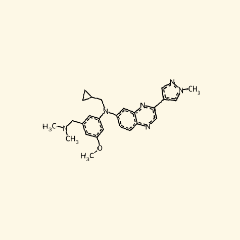 COc1cc(CN(C)C)cc(N(CC2CC2)c2ccc3ncc(-c4cnn(C)c4)nc3c2)c1